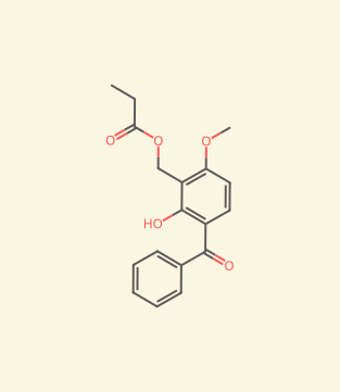 CCC(=O)OCc1c(OC)ccc(C(=O)c2ccccc2)c1O